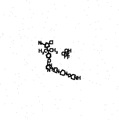 CC(C)(c1ccc(OCc2ccnc(N3CCN(C4CCN(C5CC6(CCNCC6)C5)CC4)CC3)n2)cc1)c1cc(Cl)cc(C#N)c1.O=C(O)C(F)(F)F